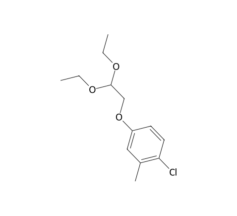 CCOC(COc1ccc(Cl)c(C)c1)OCC